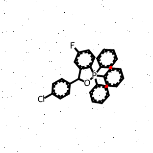 Fc1ccc2c(c1)C(c1ccc(Cl)cc1)OP2(c1ccccc1)(c1ccccc1)c1ccccc1